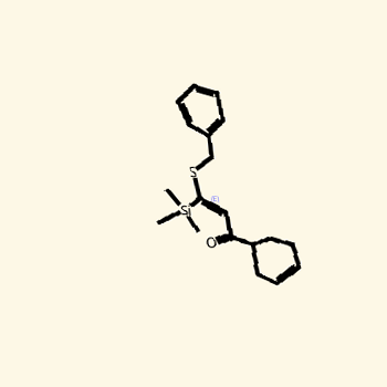 C[Si](C)(C)/C(=C\C(=O)C1CC=CCC1)SCc1ccccc1